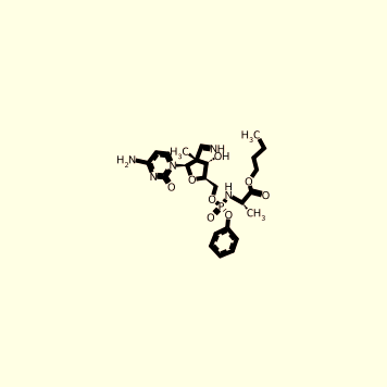 CCCCOC(=O)[C@H](C)NP(=O)(OC[C@H]1O[C@@H](n2ccc(N)nc2=O)[C@](C)(C=N)[C@@H]1O)Oc1ccccc1